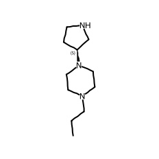 CCCN1CCN([C@H]2CCNC2)CC1